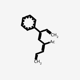 C=C/C=C(\C=C(/C=C)c1ccccc1)C(C)=O